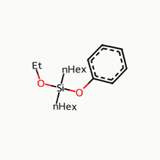 CCCCCC[Si](CCCCCC)(OCC)Oc1ccccc1